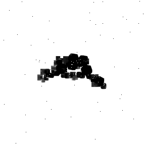 COc1cc(-c2nccc(-c3cccc4c3CCC[C@H]4Nc3nc(OC)c(CNC[C@@H](C)O)cc3C(F)(F)F)c2Cl)ccc1CNC[C@H]1CCC(=O)N1